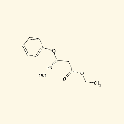 CCOC(=O)CC(=N)Oc1ccccc1.Cl